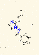 CCCCc1nccn1N=Cc1ccccc1